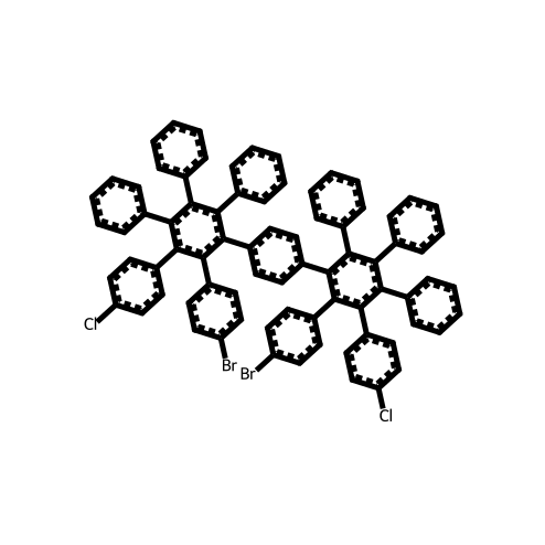 Clc1ccc(-c2c(-c3ccccc3)c(-c3ccccc3)c(-c3ccccc3)c(-c3ccc(-c4c(-c5ccccc5)c(-c5ccccc5)c(-c5ccccc5)c(-c5ccc(Cl)cc5)c4-c4ccc(Br)cc4)cc3)c2-c2ccc(Br)cc2)cc1